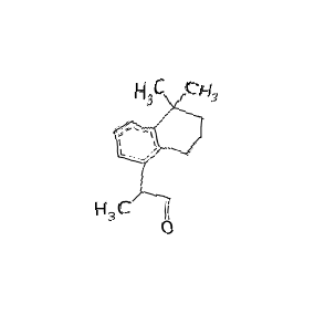 CC(C=O)c1cccc2c1CCCC2(C)C